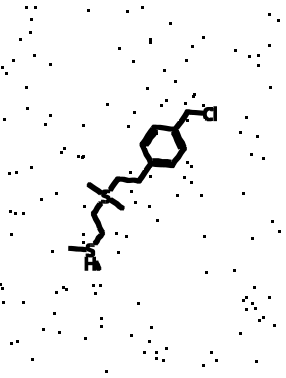 C[SH](C)CCS(C)(C)CCc1ccc(CCl)cc1